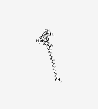 CCCCCCCCCCCCCCCCCCOC(=O)c1ccc(C(N)=C2C(=O)OC(CC)(CC)OC2=O)cc1